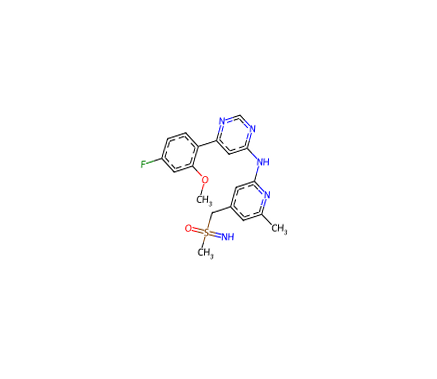 COc1cc(F)ccc1-c1cc(Nc2cc(CS(C)(=N)=O)cc(C)n2)ncn1